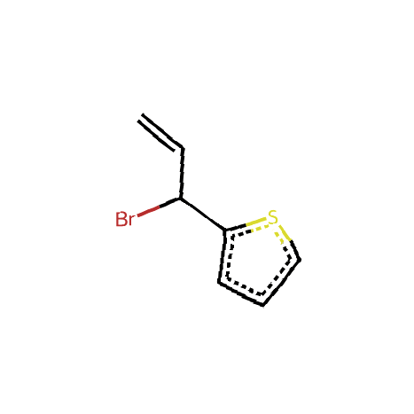 C=CC(Br)c1cccs1